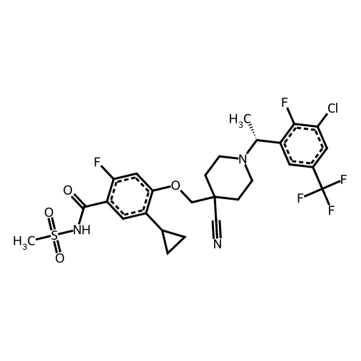 C[C@H](c1cc(C(F)(F)F)cc(Cl)c1F)N1CCC(C#N)(COc2cc(F)c(C(=O)NS(C)(=O)=O)cc2C2CC2)CC1